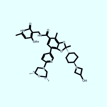 CSc1cc(C)[nH]c(=O)c1CNC(=O)c1cc(-c2ccc(N3C[C@@H](C)O[C@@H](C)C3)nc2)c2c(c1C)OC(C)([C@H]1CC[C@H](N3CC(O)C3)CC1)O2